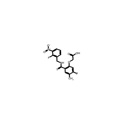 Cc1cc(C(=S)NCc2cccc([N+](=O)[O-])c2F)c(OCC(=O)O)cc1F